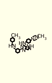 Cc1ccc(CNCc2cccc(-c3nc(Nc4ccc(N5CCN(C)CC5)cc4)c4[nH]ncc4n3)c2)cc1